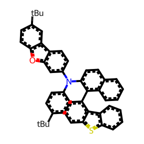 CC(C)(C)c1ccc(N(c2ccc3c(c2)oc2ccc(C(C)(C)C)cc23)c2ccc3ccccc3c2-c2cccc3sc4ccccc4c23)cc1